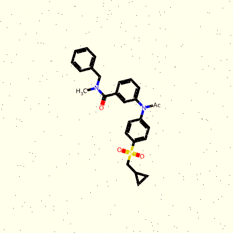 CC(=O)N(c1ccc(S(=O)(=O)CC2CC2)cc1)c1cccc(C(=O)N(C)Cc2ccccc2)c1